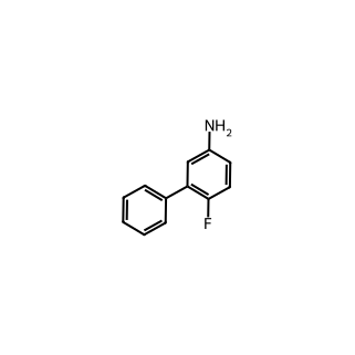 Nc1ccc(F)c(-c2ccccc2)c1